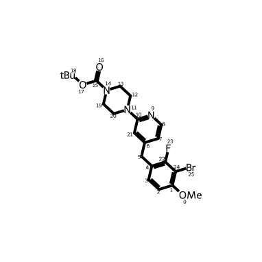 COc1ccc(Cc2ccnc(N3CCN(C(=O)OC(C)(C)C)CC3)c2)c(F)c1Br